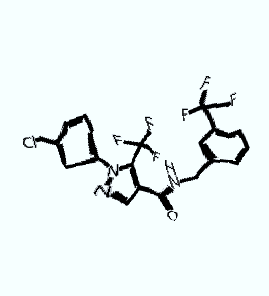 O=C(NCc1cccc(C(F)(F)F)c1)c1cnn(-c2cccc(Cl)c2)c1C(F)(F)F